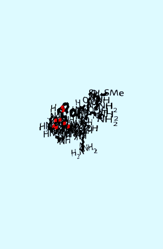 CSCC[C@H](NC(=O)[C@@H](N)CO)C(=O)N[C@@H](CS)C(=O)N[C@@H](Cc1c[nH]cn1)C(=O)N[C@@H](CCCN=C(N)N)C(=O)N[C@@H](Cc1c[nH]c2ccccc12)C(=O)N[C@@H](CO)C(=O)N[C@@H](CCCN=C(N)N)C(=O)N[C@@H](C)C(=O)N[C@H](C(=O)N[C@@H](CC(C)C)C(=O)N[C@@H](Cc1ccccc1)C(=O)N1CCC[C@H]1C(=O)N[C@@H](C)C(=O)N[C@@H](C)C(=O)N[C@@H](Cc1c[nH]cn1)C(=O)N[C@@H](CCCN=C(N)N)C(=O)N1CCC[C@H]1C(=O)O)C(C)C